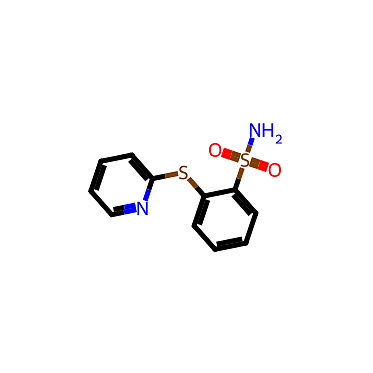 NS(=O)(=O)c1ccccc1Sc1ccccn1